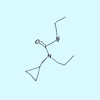 CC[N]C(=O)N(CC)C1CC1